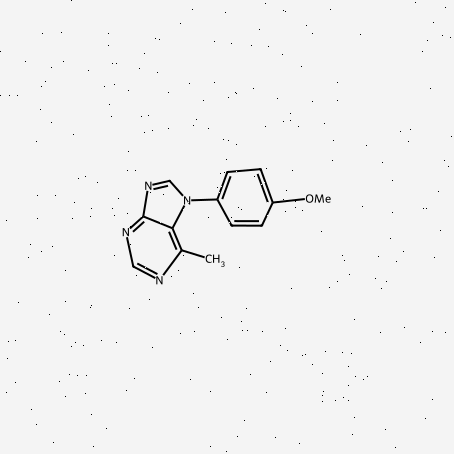 COc1ccc(-n2cnc3ncnc(C)c32)cc1